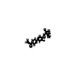 Cc1cc(C2CCN(C(=O)C3CC3)CC2)ccc1OCc1c(C)csc1Br